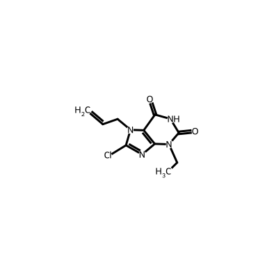 C=CCn1c(Cl)nc2c1c(=O)[nH]c(=O)n2CC